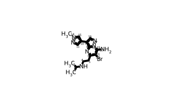 CC(C)NCCc1nc2c(-c3cnn(C)c3)cnn2c(N)c1Br